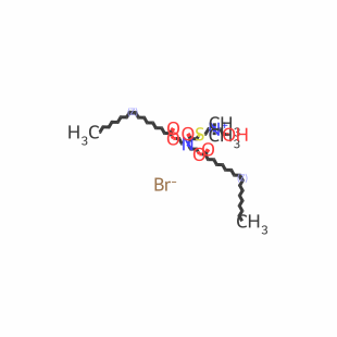 CCCCCCCC/C=C\CCCCCCCC(=O)OCCN(CCOC(=O)CCCCCCC/C=C\CCCCCCCC)C(=O)CSCC[N+](C)(C)CCO.[Br-]